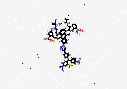 C=C(C)C(=O)NCCCN(Cc1ccccc1B(O)O)Cc1c2ccccc2c(CN(CCCNC(=O)C(=C)C)Cc2ccccc2B(O)O)c2cc(-n3cc(-c4ccc(C5=C6C=CC(=[N+](C)C)C=C6S(C)(C)c6cc(N(C)C)ccc65)cc4)nn3)ccc12